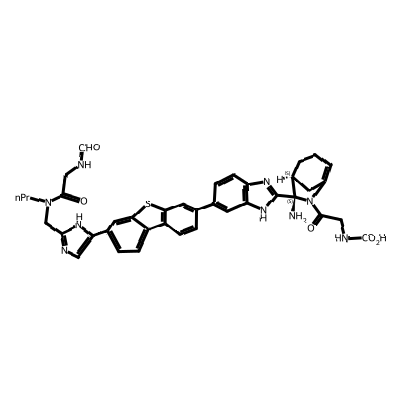 CCCN(Cc1ncc(-c2ccc3c(c2)sc2cc(-c4ccc5nc([C@]6(N)[C@H]7CCC=C(C7)N6C(=O)CNC(=O)O)[nH]c5c4)ccc23)[nH]1)C(=O)CNC=O